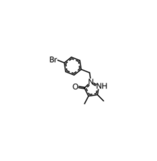 Cc1[nH]n(Cc2ccc(Br)cc2)c(=O)c1C